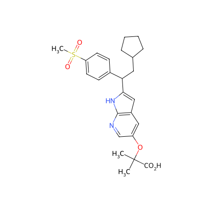 CC(C)(Oc1cnc2[nH]c(C(CC3CCCC3)c3ccc(S(C)(=O)=O)cc3)cc2c1)C(=O)O